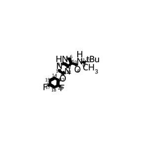 C[C@@H](NC(=O)c1c[nH]c2ncc(Oc3ccc(F)cc3F)nc12)C(C)(C)C